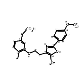 Cc1ccc(CC(=O)O)cc1OCCc1nc(-c2ccc(OC(F)(F)F)cc2)oc1C(C)C